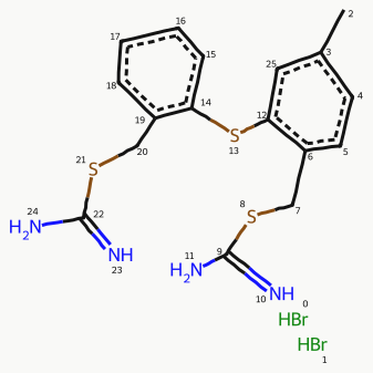 Br.Br.Cc1ccc(CSC(=N)N)c(Sc2ccccc2CSC(=N)N)c1